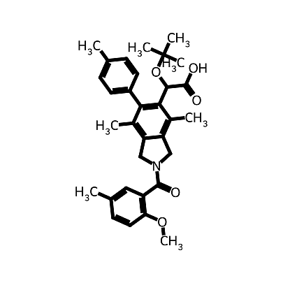 COc1ccc(C)cc1C(=O)N1Cc2c(C)c(-c3ccc(C)cc3)c(C(OC(C)(C)C)C(=O)O)c(C)c2C1